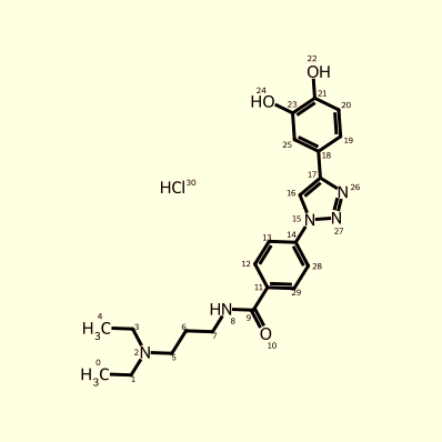 CCN(CC)CCCNC(=O)c1ccc(-n2cc(-c3ccc(O)c(O)c3)nn2)cc1.Cl